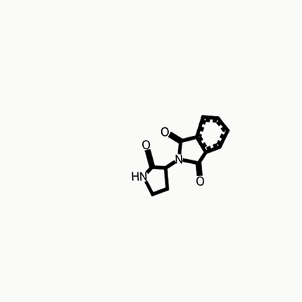 O=C1NCCC1N1C(=O)c2ccccc2C1=O